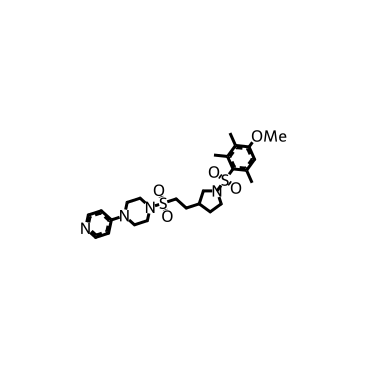 COc1cc(C)c(S(=O)(=O)N2CCC(CCS(=O)(=O)N3CCN(c4ccncc4)CC3)C2)c(C)c1C